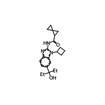 CCC(O)(CC)c1ccc2nc(NC(=O)C3CC34CC4)n(C3CCC3)c2c1